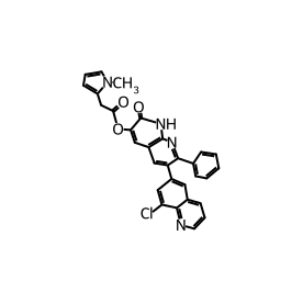 Cn1cccc1CC(=O)Oc1cc2cc(-c3cc(Cl)c4ncccc4c3)c(-c3ccccc3)nc2[nH]c1=O